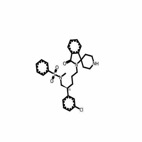 CN(C[C@@H](CCCN1C(=O)c2ccccc2C12CCNCC2)c1cccc(Cl)c1)S(=O)(=O)c1ccccc1